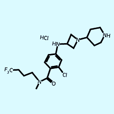 CN(CCCC(F)(F)F)C(=O)c1ccc(NC2CN(C3CCNCC3)C2)cc1Cl.Cl